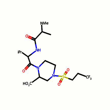 CNC(C)C(=O)NC(C(=O)N1CCN(S(=O)(=O)CCC(F)(F)F)CC1C(=O)O)C(C)C